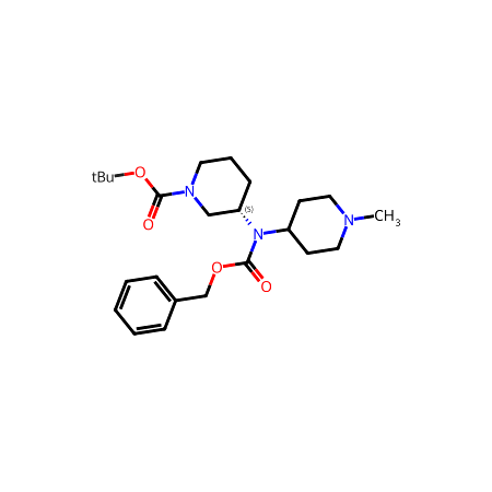 CN1CCC(N(C(=O)OCc2ccccc2)[C@H]2CCCN(C(=O)OC(C)(C)C)C2)CC1